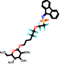 CC(=O)OCC1O[C@@H](OCCCC(F)(F)C(F)(F)OC(F)(F)C(F)(F)S(=O)(=O)N=C2c3ccccc3-c3ccccc32)C(OC(C)=O)C(OC(C)=O)[C@@H]1OC(C)=O